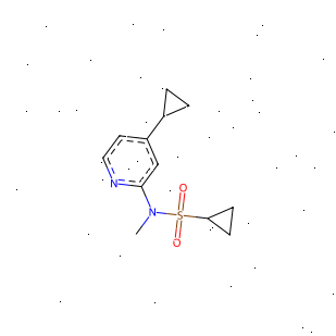 CN(c1cc(C2CC2)ccn1)S(=O)(=O)C1CC1